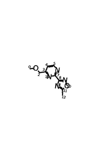 COCc1ccnc(-c2noc(C)n2)n1